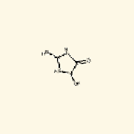 O=C1NC(O)NC1O